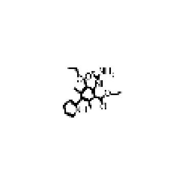 CCOC(=O)c1c(C)c(C2=CCC=CN2)c(C)c(C(=O)OCC)c1NC(N)=S